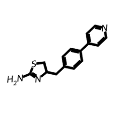 NC1=NC(Cc2ccc(-c3ccncc3)cc2)CS1